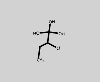 CCC(Cl)C(O)(O)O